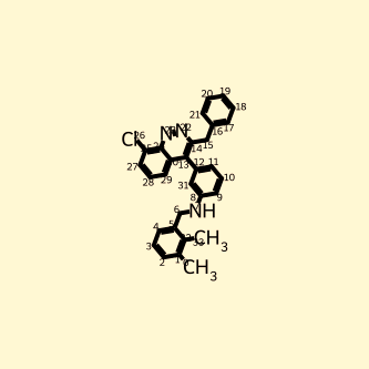 Cc1cccc(CNc2cccc(-c3c(Cc4ccccc4)nnc4c(Cl)cccc34)c2)c1C